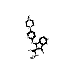 CN1CCN(c2ccc(NC3c4ccccc4C(=O)N3C(=O)OC(C)(C)C)nc2)CC1